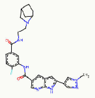 Cn1cc(-c2cc3cc(C(=O)Nc4cc(C(=O)NCCN5CC6CCC5C6)ccc4F)cnc3[nH]2)cn1